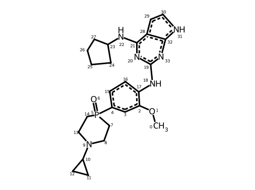 COc1cc(P2(=O)CCN(C3CC3)CC2)ccc1Nc1nc(NC2CCCC2)c2cc[nH]c2n1